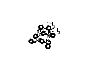 Cc1cc(C)c(-n2c(-c3ccc(N(Cc4ccccc4)c4cccc(N(Cc5ccccc5)c5ccc(-c6nccc7ccccc67)cc5)c4Cl)cc3)nc3ccccc32)c(C)c1